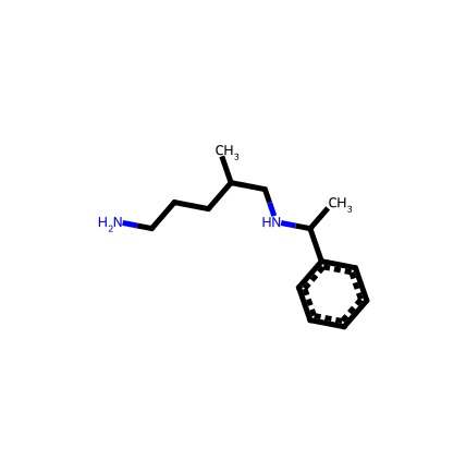 CC(CCCN)CNC(C)c1ccccc1